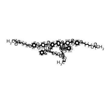 C=CC(=O)OCCCCCCOc1ccc(OC(=O)C2CCC(C(=O)Oc3ccc(-c4ccc(OC(=O)C5CCC(C(=O)Oc6ccc(OCCCCCCOC(=O)C=C)cc6)CC5)c(/C=N/N(CCOCCOC)C5Nc6ccccc6S5)c4)cc3/C=N/N(CCOCCOC)C3Nc4ccccc4S3)CC2)cc1